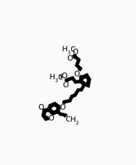 C=CCc1c(OCCCCCCc2cccc(OCCCC(=O)OC)c2CCC(=O)OC)ccc2c(=O)ccoc12